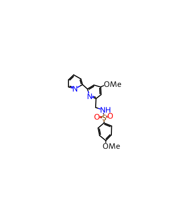 COc1ccc(S(=O)(=O)NCc2cc(OC)cc(-c3ccccn3)n2)cc1